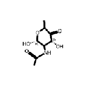 CC(=O)NC1[C@H](O)OC(C)C(=O)[C@@H]1O